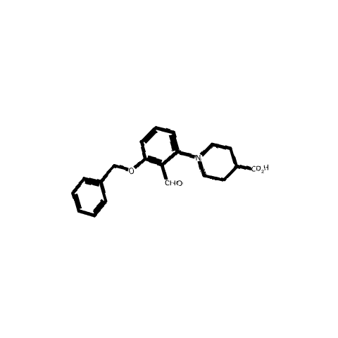 O=Cc1c(OCc2ccccc2)cccc1N1CCC(C(=O)O)CC1